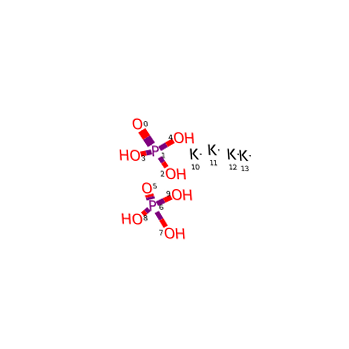 O=P(O)(O)O.O=P(O)(O)O.[K].[K].[K].[K]